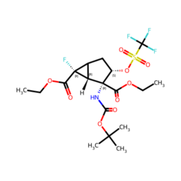 CCOC(=O)[C@]1(NC(=O)OC(C)(C)C)[C@@H](OS(=O)(=O)C(F)(F)F)CC2[C@H]1[C@@]2(F)C(=O)OCC